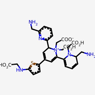 NCc1cccc(C2C=C(c3ccc(NCC(=O)O)s3)C=C(C3=CC=CC(CN)N3CC(=O)O)[N+]2(CC(=O)[O-])CC(=O)O)n1